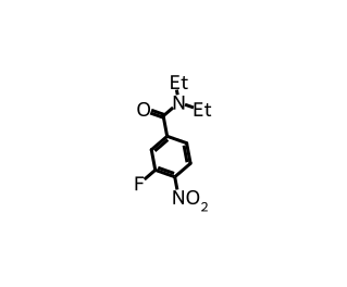 CCN(CC)C(=O)c1ccc([N+](=O)[O-])c(F)c1